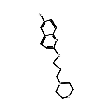 Brc1ccc2nc(OCCCN3CCOCC3)ccc2c1